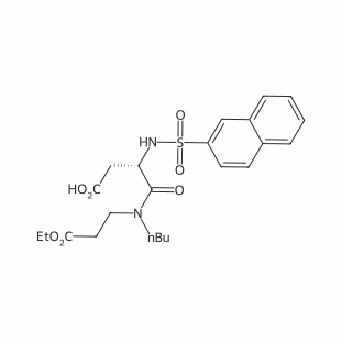 CCCCN(CCC(=O)OCC)C(=O)[C@H](CC(=O)O)NS(=O)(=O)c1ccc2ccccc2c1